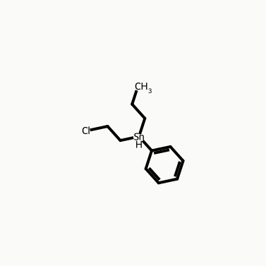 CC[CH2][SnH]([CH2]CCl)[c]1ccccc1